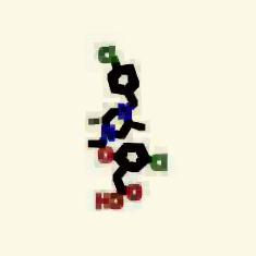 CC(Oc1ccc(Cl)cc1CC(=O)O)N1C[C@H](C)N(Cc2ccc(Cl)cc2)C[C@H]1C